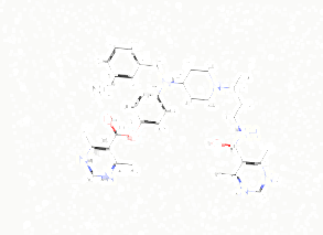 Cc1ncnc(C)c1C(=O)NCCC(C)N1CCC(N(Cc2cccc(C#N)c2)c2ccc(OC(=O)c3c(C)ncnc3C)cc2)CC1